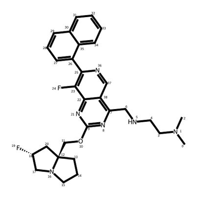 CN(C)CCNCc1nc(OC[C@@]23CCCN2C[C@H](F)C3)nc2c(F)c(-c3cccc4ccccc34)ncc12